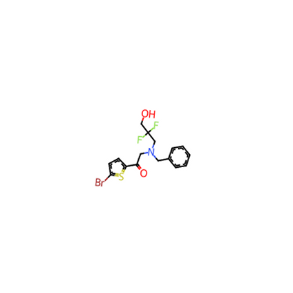 O=C(CN(Cc1ccccc1)CC(F)(F)CO)c1ccc(Br)s1